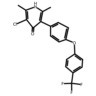 Cc1[nH]c(C)c(-c2ccc(Oc3ccc(C(F)(F)F)cc3)cc2)c(=O)c1Cl